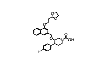 O=C(O)N1CCC(c2ccc(F)cc2)C(OCc2cc(OCCC3OCCO3)c3ccccc3c2)C1